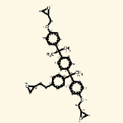 CC(C)(c1ccc(OCC2CO2)cc1)c1ccc(C(C)(c2ccc(CCC3CO3)cc2)c2ccc(OCC3CO3)cc2)cc1